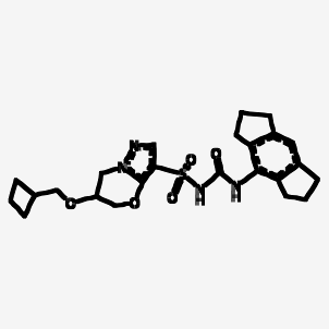 O=C(Nc1c2c(cc3c1CCC3)CCC2)NS(=O)(=O)c1cnn2c1OCC(OCC1CCC1)C2